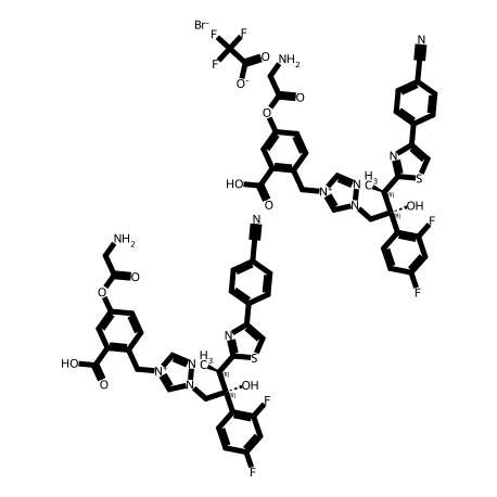 C[C@@H](c1nc(-c2ccc(C#N)cc2)cs1)[C@](O)(Cn1c[n+](Cc2ccc(OC(=O)CN)cc2C(=O)O)cn1)c1ccc(F)cc1F.C[C@@H](c1nc(-c2ccc(C#N)cc2)cs1)[C@](O)(Cn1c[n+](Cc2ccc(OC(=O)CN)cc2C(=O)O)cn1)c1ccc(F)cc1F.O=C([O-])C(F)(F)F.[Br-]